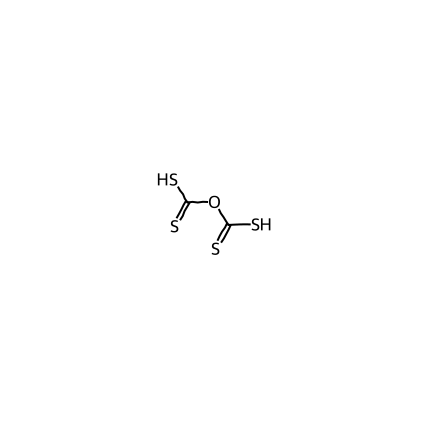 S=C(S)OC(=S)S